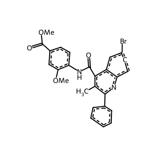 COC(=O)c1ccc(NC(=O)c2c(C)c(-c3ccccc3)nc3ccc(Br)cc23)c(OC)c1